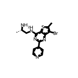 Cc1sc2c(NC[C@H](C)N)nc(-c3ccncc3)nc2c1Br